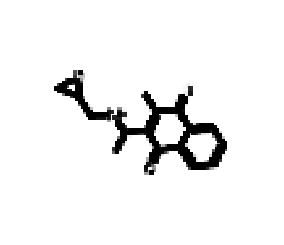 CC1=C(C(C)NCC2CO2)C(=O)c2ccccc2C1=O